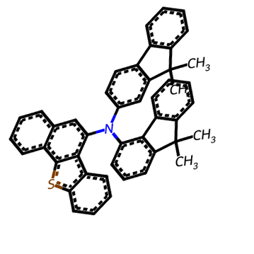 CC1(C)c2ccccc2-c2ccc(N(c3cccc4c3-c3ccccc3C4(C)C)c3cc4ccccc4c4sc5ccccc5c34)cc21